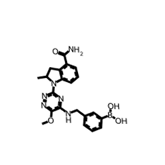 COc1nnc(N2c3cccc(C(N)=O)c3CC2C)nc1NCc1cccc(B(O)O)c1